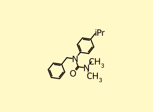 CC(C)c1ccc(N(Cc2ccccc2)C(=O)N(C)C)cc1